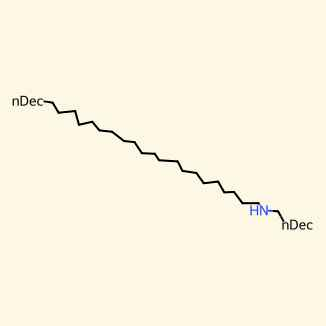 CCCCCCCCCCCCCCCCCCCCCCCCCCCCCCCNCCCCCCCCCCC